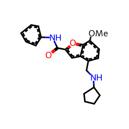 COc1ccc(CNC2CCCC2)c2cc(C(=O)Nc3ccccc3)oc12